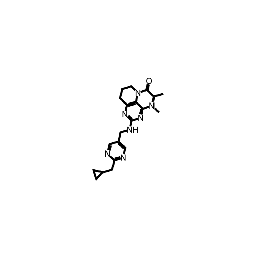 CC1C(=O)N2CCCc3nc(NCc4cnc(CC5CC5)nc4)nc(c32)N1C